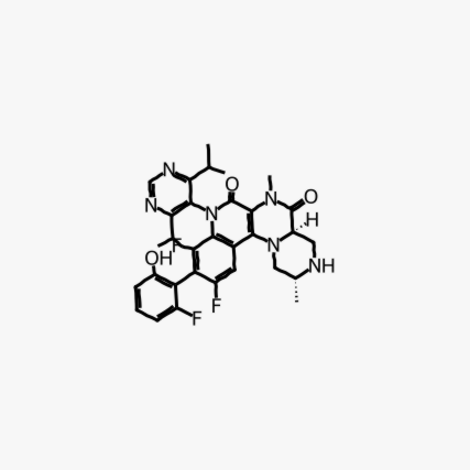 CC(C)c1ncnc(C(C)C)c1-n1c(=O)c2c(c3cc(F)c(-c4c(O)cccc4F)c(F)c31)N1C[C@@H](C)NC[C@@H]1C(=O)N2C